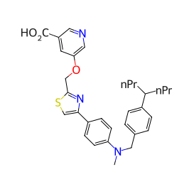 CCCC(CCC)c1ccc(CN(C)c2ccc(-c3csc(COc4cncc(C(=O)O)c4)n3)cc2)cc1